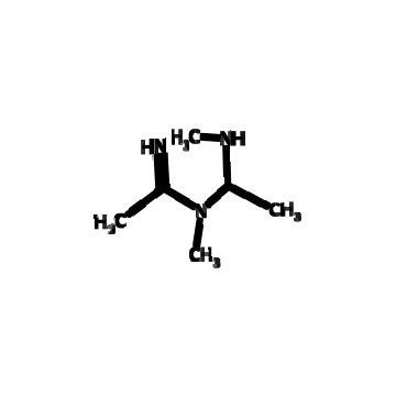 CNC(C)N(C)C(C)=N